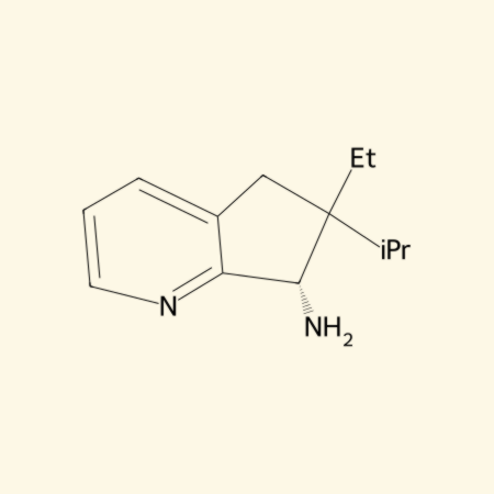 CCC1(C(C)C)Cc2cccnc2[C@H]1N